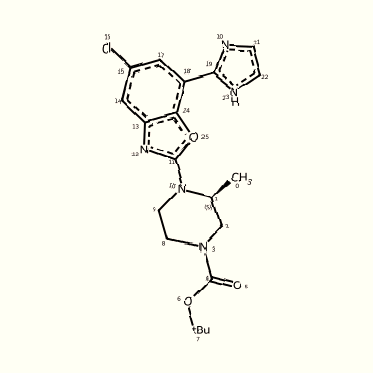 C[C@H]1CN(C(=O)OC(C)(C)C)CCN1c1nc2cc(Cl)cc(-c3ncc[nH]3)c2o1